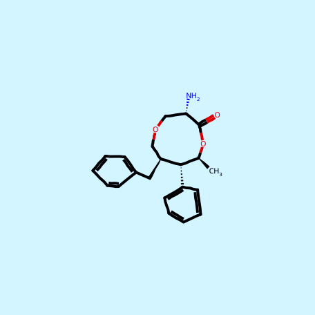 C[C@@H]1OC(=O)[C@@H](N)COC[C@H](Cc2ccccc2)[C@H]1c1ccccc1